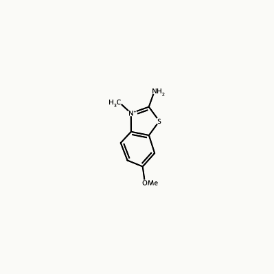 COc1ccc2c(c1)sc(N)[n+]2C